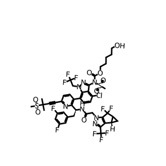 CC(C)(C#Cc1ccc(-c2ccc(Cl)c3c(N(C(=O)OCCCCCO)S(C)(=O)=O)nn(CC(F)(F)F)c23)c([C@H](Cc2cc(F)cc(F)c2)NC(=O)Cn2nc(C(F)(F)F)c3c2C(F)(F)C2C[C@H]32)n1)S(C)(=O)=O